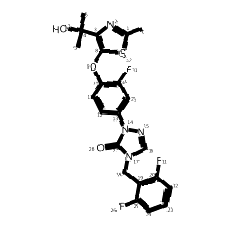 Cc1nc(C(C)(C)O)c(Oc2ccc(-n3ncn(Cc4c(F)cccc4F)c3=O)cc2F)s1